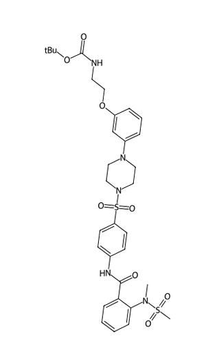 CN(c1ccccc1C(=O)Nc1ccc(S(=O)(=O)N2CCN(c3cccc(OCCNC(=O)OC(C)(C)C)c3)CC2)cc1)S(C)(=O)=O